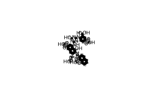 O=C(O)c1cc(S(=O)(=O)O)ccc1Nc1nc(O)nc(Nc2cc(S(=O)(=O)O)cc3cc(SOOO)c(N=Nc4ccc5ccccc5c4S(=O)(=O)O)c(O)c23)n1